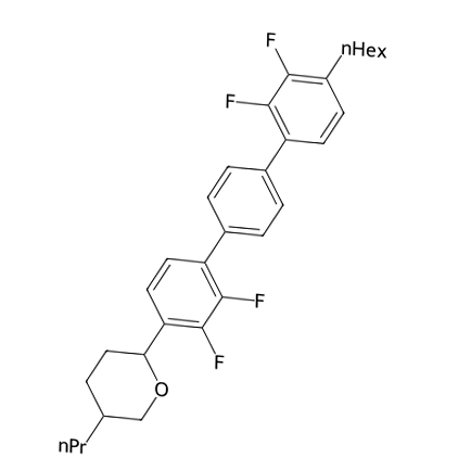 CCCCCCc1ccc(-c2ccc(-c3ccc(C4CCC(CCC)CO4)c(F)c3F)cc2)c(F)c1F